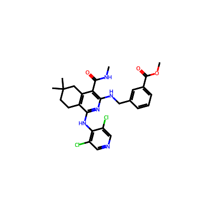 CNC(=O)c1c(NCc2cccc(C(=O)OC)c2)nc(Nc2c(Cl)cncc2Cl)c2c1CC(C)(C)CC2